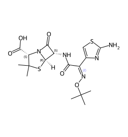 CC(C)(C)O/N=C(\C(=O)N[C@H]1C(=O)N2[C@@H]1SC(C)(C)[C@@H]2C(=O)O)c1csc(N)n1